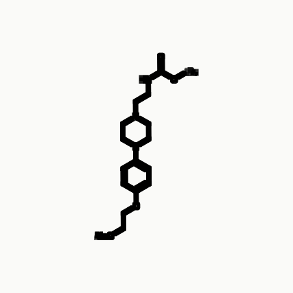 COCCOc1ccc(N2CCN(CCNC(=O)OC(C)(C)C)CC2)cc1